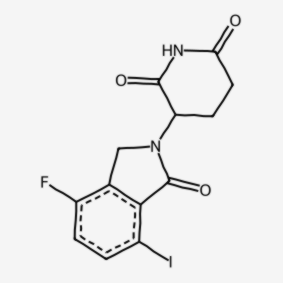 O=C1CCC(N2Cc3c(F)ccc(I)c3C2=O)C(=O)N1